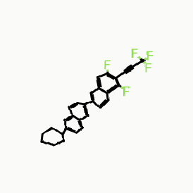 Fc1cc2cc(-c3ccc4cc(C5CCCCC5)ccc4c3)ccc2c(F)c1C#CC(F)(F)F